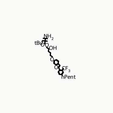 CCCCCc1ccc(-c2cc3ccc(OCCCCC(O)COC(=O)C(C)(CC(C)(C)C)C(C)(C)N)cc3o2)c(C(F)(F)F)c1